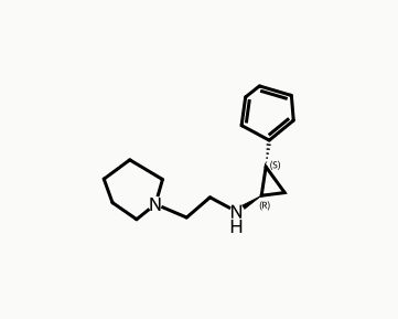 c1ccc([C@@H]2C[C@H]2NCCN2CCCCC2)cc1